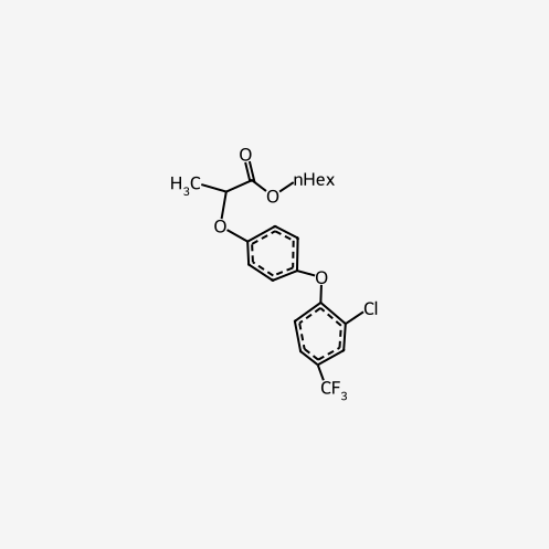 CCCCCCOC(=O)C(C)Oc1ccc(Oc2ccc(C(F)(F)F)cc2Cl)cc1